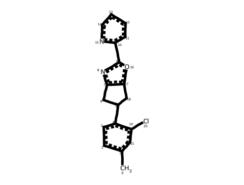 Cc1ccc(C2Cc3nc(-c4ccccn4)oc3C2)c(Cl)c1